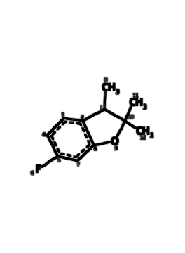 CC1c2ccc(F)cc2OC1(C)C